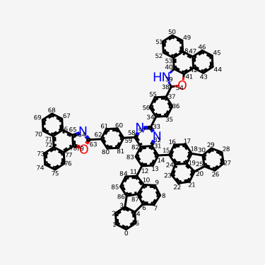 c1ccc2c(c1)-c1cccc3c(-c4cc(-c5ccc6c7c(cccc57)-c5ccccc5-6)c5nc(-c6ccc(C7Nc8c(c9ccccc9c9ccccc89)O7)cc6)nc(-c6ccc(-c7nc8c9ccccc9c9ccccc9c8o7)cc6)c5c4)ccc-2c13